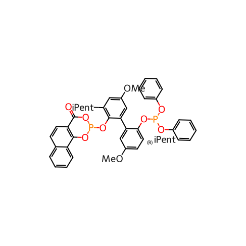 CCCC(C)c1cc(OC)cc(-c2cc(OC)cc([C@H](C)CCC)c2OP(Oc2ccccc2)Oc2ccccc2)c1OP1OC(=O)c2ccc3ccccc3c2O1